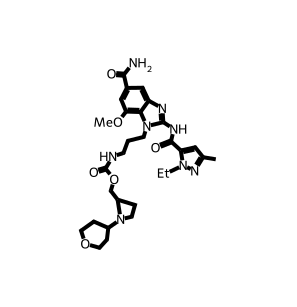 CCn1nc(C)cc1C(=O)Nc1nc2cc(C(N)=O)cc(OC)c2n1CCCNC(=O)OCC1CCN1C1CCOCC1